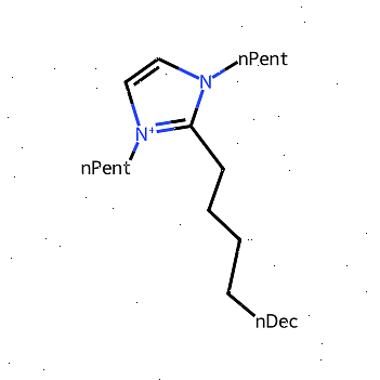 CCCCCCCCCCCCCCc1n(CCCCC)cc[n+]1CCCCC